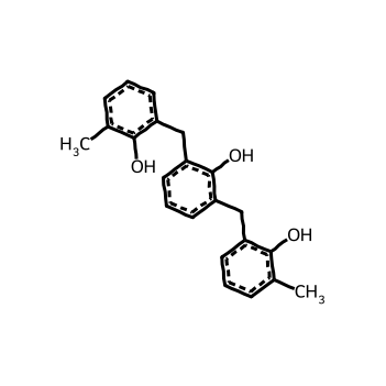 Cc1cccc(Cc2cccc(Cc3cccc(C)c3O)c2O)c1O